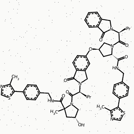 Cc1ncsc1-c1ccc(CNC(=O)[C@@H]2C[C@@H](Oc3ccc4c(c3)CN([C@H](C(=O)N3C[C@H](O)CC3(C)C(=O)NCc3ccc(-c5scnc5C)cc3)C(C)C)C4=O)CN2C(=O)[C@H](C(C)C)N2Cc3ccccc3C2=O)cc1